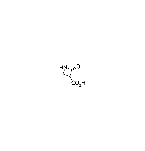 O=C(O)C1CNC1=O